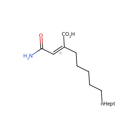 CCCCCCCCCCCC/C(=C/C(N)=O)C(=O)O